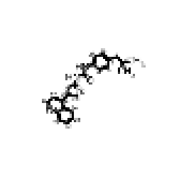 CC(C)Cc1ccc(NC(=O)Nc2nnc(-c3ccnc4ccccc34)s2)cc1